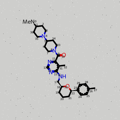 CNC1CCN(C2CCN(C(=O)c3ncnc(NC[C@@H]4CCC[C@H](c5ccc(C)cc5)O4)c3C)CC2)CC1